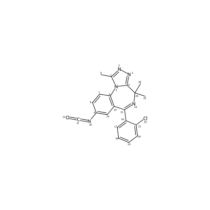 Cc1nnc2n1-c1ccc(N=C=O)cc1C(c1ccccc1Cl)=NC2(C)C